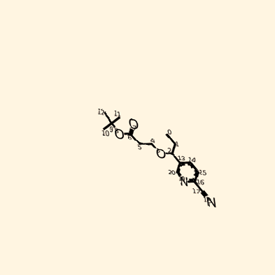 CCC(OCCC(=O)OC(C)(C)C)c1ccc(C#N)nc1